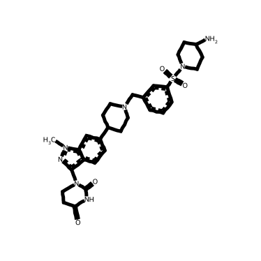 Cn1nc(N2CCC(=O)NC2=O)c2ccc(C3CCN(Cc4cccc(S(=O)(=O)N5CCC(N)CC5)c4)CC3)cc21